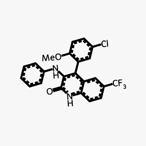 COc1ccc(Cl)cc1-c1c(Nc2ccccc2)c(=O)[nH]c2ccc(C(F)(F)F)cc12